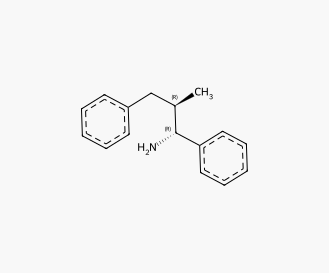 C[C@H](Cc1ccccc1)[C@@H](N)c1ccccc1